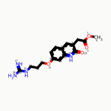 COC(=O)Cc1cc2ccc(OCCCNC(=N)N)cc2[nH]c1=O